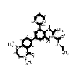 C=C(NC(=O)OCC)Nc1c(N)cc(-c2ccc3c(c2)C(=O)N(C)CCN3C)cc1-c1ncccn1